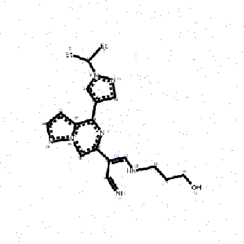 CCC(CC)n1cc(-c2nc(/C(C=N)=C/NCCCO)cn3nccc23)cn1